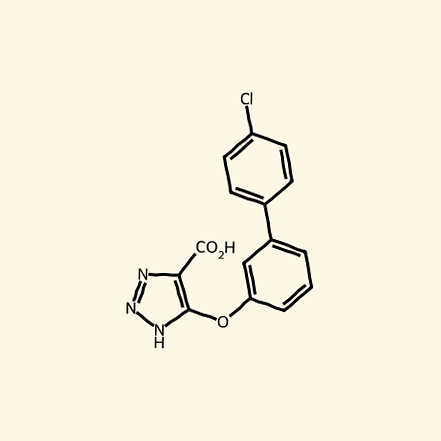 O=C(O)c1nn[nH]c1Oc1cccc(-c2ccc(Cl)cc2)c1